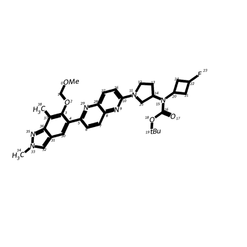 COCOc1c(-c2ccc3nc(N4CCC(N(C(=O)OC(C)(C)C)C5CC(F)C5)C4)ccc3n2)cc2cn(C)nc2c1C